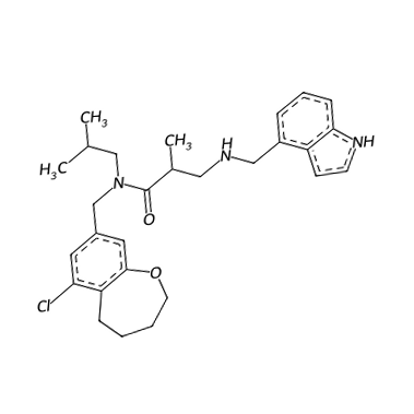 CC(C)CN(Cc1cc(Cl)c2c(c1)OCCCC2)C(=O)C(C)CNCc1cccc2[nH]ccc12